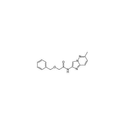 Cc1ccc2nc(NC(=O)COCc3ccccc3)cn2n1